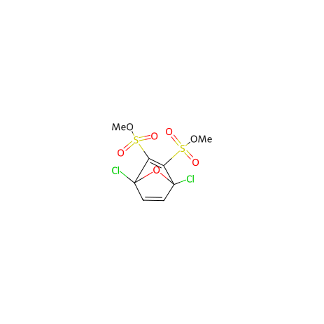 COS(=O)(=O)C1=C(S(=O)(=O)OC)C2(Cl)C=CC1(Cl)O2